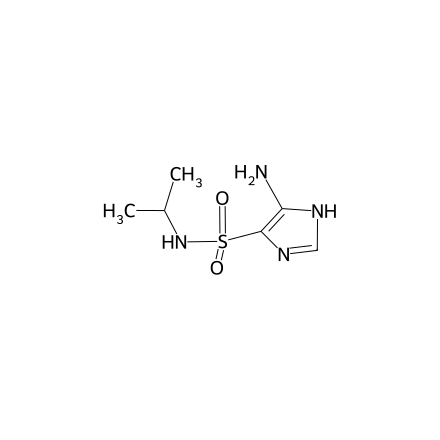 CC(C)NS(=O)(=O)c1nc[nH]c1N